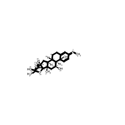 C/N=C1\C=C[C@@]2(C)C(=C1)CC[C@@H]1[C@@H]2[C@@H](O)C[C@@]2(C)[C@H]1C[C@H]1OC(P)O[C@]12C(=O)CO